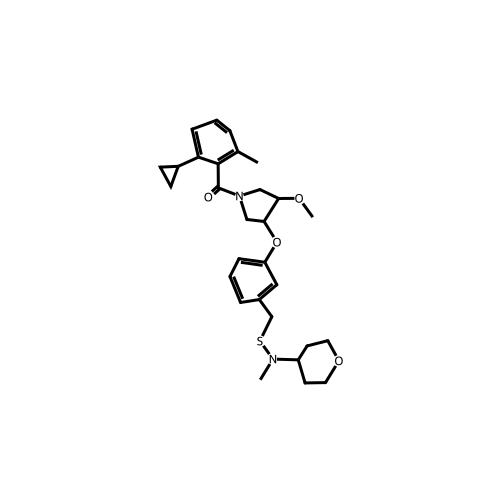 COC1CN(C(=O)c2c(C)cccc2C2CC2)CC1Oc1cccc(CSN(C)C2CCOCC2)c1